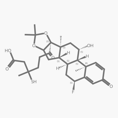 CC(S)(CCC(=O)[C@@]12OC(C)(C)OC1C[C@H]1[C@@H]3C[C@H](F)C4=CC(=O)C=C[C@]4(C)[C@H]3[C@@H](O)C[C@@]12C)CC(=O)O